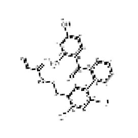 C=CC(=O)OCCc1cc(-c2ccccc2C(=O)c2ccc(O)cc2O)c(O)cc1O